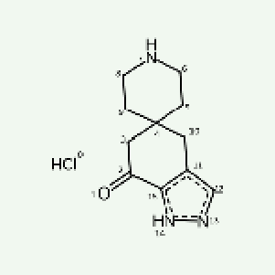 Cl.O=C1CC2(CCNCC2)Cc2cn[nH]c21